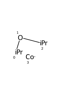 CC(C)OC(C)C.[Co]